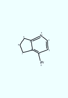 CC(C)c1ccnc2c1CCC2